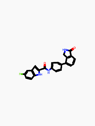 O=C(Nc1ccc(-c2cccc3c2CNC3=O)cc1)c1cc2cc(F)ccc2[nH]1